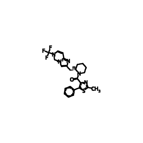 Cc1nc(C(=O)N2CCCC[C@H]2CC2=C[N+]3CN(C(F)(F)F)C=CC3=N2)c(-c2ccccc2)s1